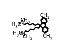 Cc1ccc2c(c1)C(CCCCCCN(C)C)(CCCCCCN(C)C)c1cc(C)ccc1-2